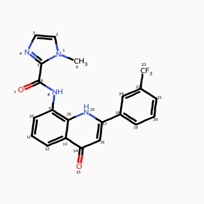 Cn1ccnc1C(=O)Nc1cccc2c(=O)cc(-c3cccc(C(F)(F)F)c3)[nH]c12